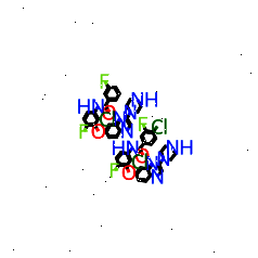 O=C(Nc1ccc(F)c(Oc2ccc3ncc(N4CCNCC4)nc3c2)c1Cl)c1ccc(Cl)c(F)c1.O=C(Nc1ccc(F)c(Oc2ccc3ncc(N4CCNCC4)nc3c2)c1Cl)c1cccc(F)c1